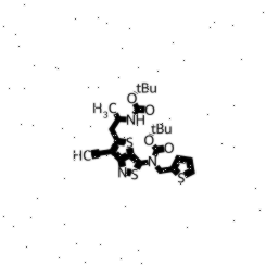 C#Cc1c(CC(C)NC(=O)OC(C)(C)C)sc2c(N(Cc3cccs3)C(=O)OC(C)(C)C)snc12